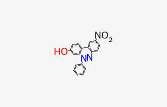 O=[N+]([O-])c1ccc(N=Nc2ccccc2)c(-c2ccc(O)cc2)c1